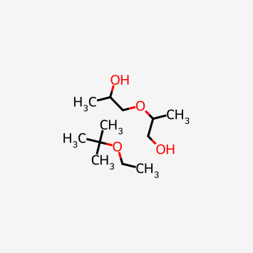 CC(O)COC(C)CO.CCOC(C)(C)C